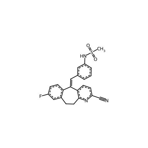 CS(=O)(=O)Nc1cccc(/C=C2/c3ccc(F)cc3CCc3nc(C#N)ccc32)c1